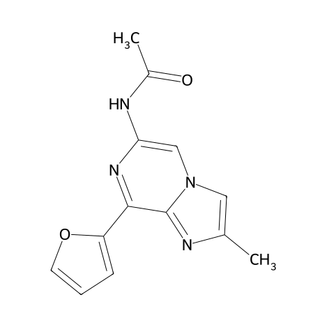 CC(=O)Nc1cn2cc(C)nc2c(-c2ccco2)n1